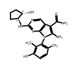 Cc1ccc(O)c(C)c1-n1c(N)c(C(N)=O)c2cnc(N[C@H]3CCC[C@@H]3O)nc21